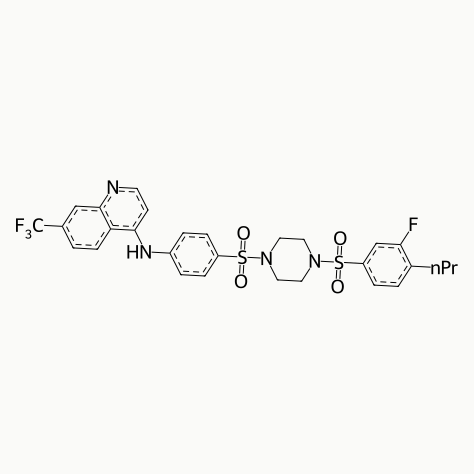 CCCc1ccc(S(=O)(=O)N2CCN(S(=O)(=O)c3ccc(Nc4ccnc5cc(C(F)(F)F)ccc45)cc3)CC2)cc1F